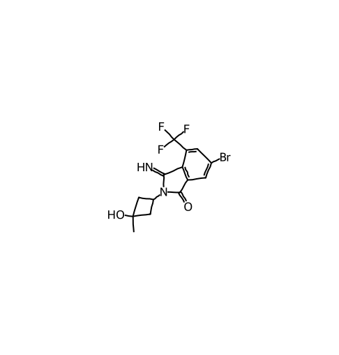 CC1(O)CC(N2C(=N)c3c(cc(Br)cc3C(F)(F)F)C2=O)C1